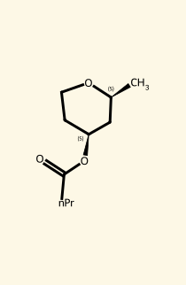 CCCC(=O)O[C@H]1CCO[C@@H](C)C1